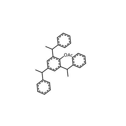 CC(=O)Oc1c(C(C)c2ccccc2)cc(C(C)c2ccccc2)cc1C(C)c1ccccc1